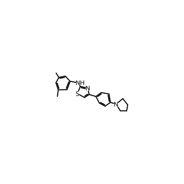 Cc1cc(C)cc(Nc2nc(-c3ccc(N4CCCC4)cc3)cs2)c1